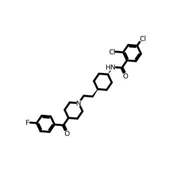 O=C(N[C@H]1CC[C@H](CCN2CCC(C(=O)c3ccc(F)cc3)CC2)CC1)c1ccc(Cl)cc1Cl